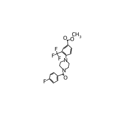 COC(=O)c1ccc(N2CCN(C(=O)c3ccc(F)cc3)CC2)c(C(F)(F)F)c1